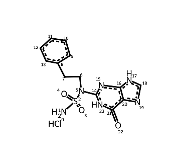 Cl.NS(=O)(=O)N(CCc1ccccc1)c1nc2[nH]cnc2c(=O)[nH]1